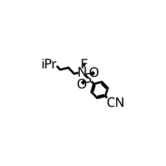 CC(C)CCCN(F)S(=O)(=O)c1ccc(C#N)cc1